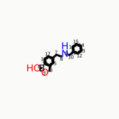 OB1OCc2cc(CCNCc3ccccc3)ccc21